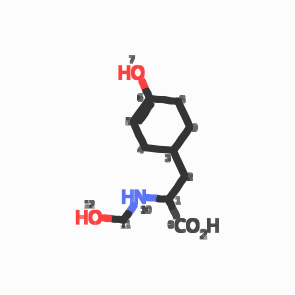 O=C(O)C(CC1CC=C(O)CC1)NCO